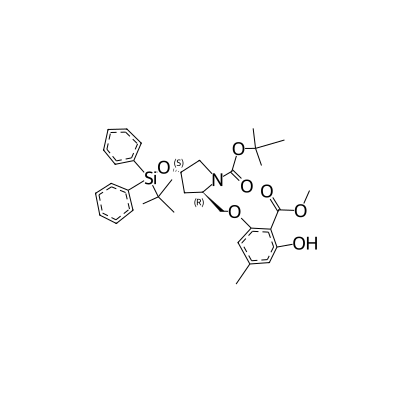 COC(=O)c1c(O)cc(C)cc1OC[C@H]1C[C@H](O[Si](c2ccccc2)(c2ccccc2)C(C)(C)C)CN1C(=O)OC(C)(C)C